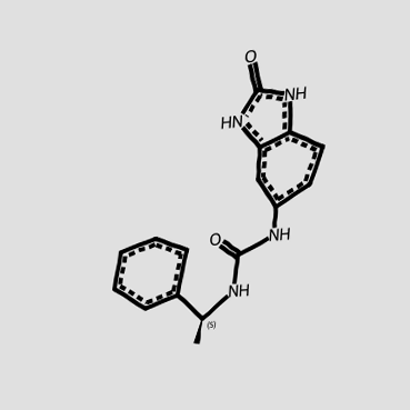 C[C@H](NC(=O)Nc1ccc2[nH]c(=O)[nH]c2c1)c1ccccc1